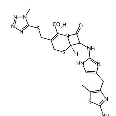 Cc1sc(N)nc1Cc1c[nH]c(NC2C(=O)N3C(C(=O)O)=C(CSc4nnnn4C)CS[C@H]23)n1